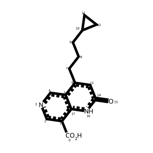 O=C(O)c1cncc2c(CCCC3CC3)cc(=O)[nH]c12